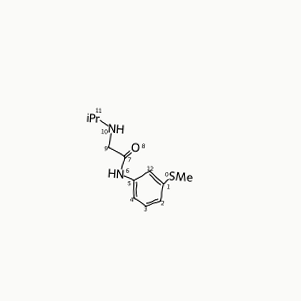 CSc1cccc(NC(=O)CNC(C)C)c1